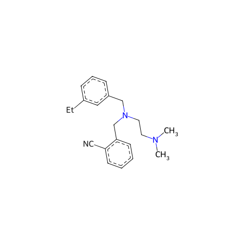 CCc1cccc(CN(CCN(C)C)Cc2ccccc2C#N)c1